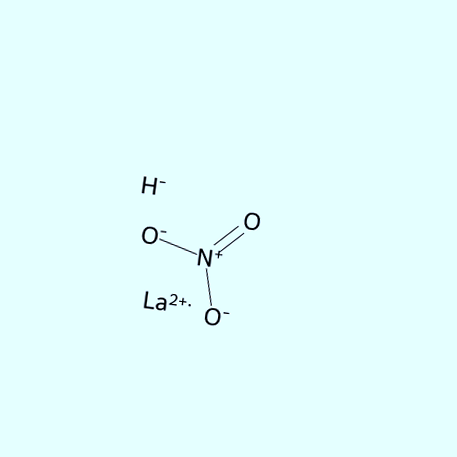 O=[N+]([O-])[O-].[H-].[La+2]